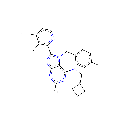 COc1ccnc(-c2nc3nc(C=O)nc(N[C@H](C)C4CCC4)c3n2Cc2ccc(C(F)(F)F)cc2)c1C